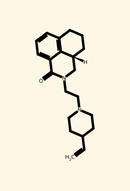 C=CC1CCN(CCN2C[C@H]3CCCc4cccc(c43)C2=O)CC1